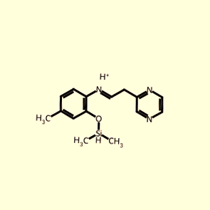 Cc1ccc(N=CCc2cnccn2)c(O[SiH](C)C)c1.[H+]